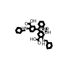 O=C(O)c1cc(C(c2ccc(NCc3ccccc3)c(C(=O)O)c2)c2ccccc2S(=O)(=O)O)ccc1NCc1ccccc1